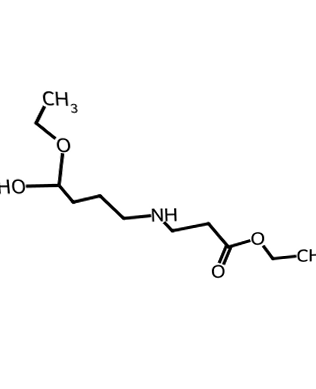 CCOC(=O)CCNCCCC(O)OCC